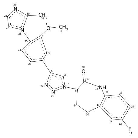 COc1cc(-c2cn(C3CCc4cc(F)ccc4NC3=O)nn2)ccc1-n1ccnc1C